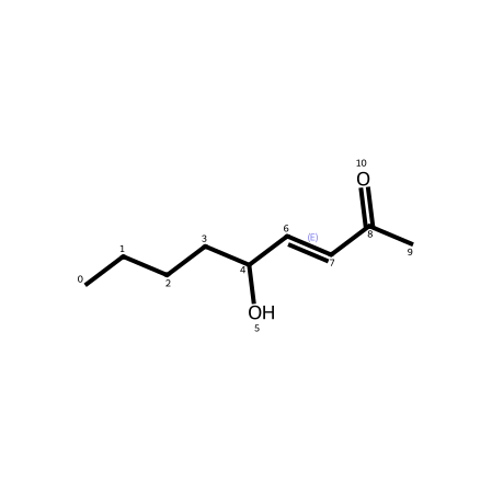 CCCCC(O)/C=C/C(C)=O